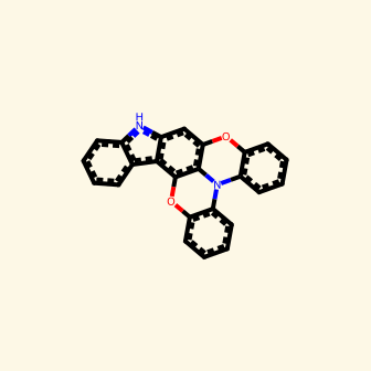 c1ccc2c(c1)Oc1cc3[nH]c4ccccc4c3c3c1N2c1ccccc1O3